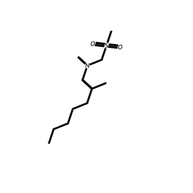 CCCCCC(C)CN(C)CS(C)(=O)=O